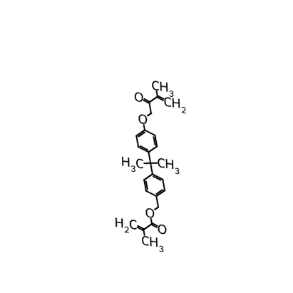 C=C(C)C(=O)COc1ccc(C(C)(C)c2ccc(COC(=O)C(=C)C)cc2)cc1